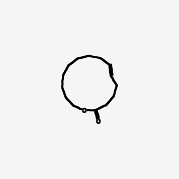 O=C1CCC/C=C/CCCCCCCCO1